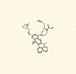 C=CC(=O)N1CCN(c2nc(OCC3CCCN3C)nc3c(=O)n(-c4cccc5cccc(C(=C)C)c45)c(C)nc23)CC1CC#N